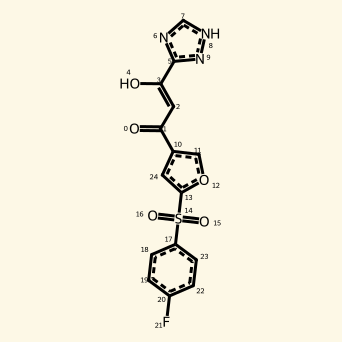 O=C(C=C(O)c1nc[nH]n1)c1coc(S(=O)(=O)c2ccc(F)cc2)c1